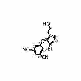 CCc1n[nH]c(CCO)c1Oc1cc(C#N)cc(C#N)c1